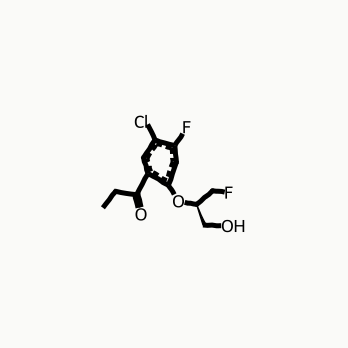 CCC(=O)c1cc(Cl)c(F)cc1O[C@H](CO)CF